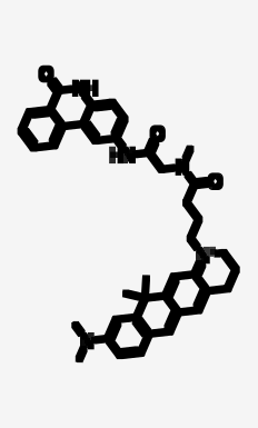 CN(CC(=O)Nc1ccc2[nH]c(=O)c3ccccc3c2c1)C(=O)CCC[N+]1=c2cc3c(cc2CCC1)=Cc1ccc(N(C)C)cc1C3(C)C